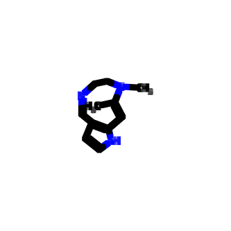 C/C1=C\c2[nH]ccc2/C=N\CCN1C